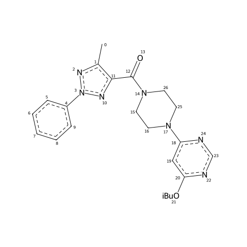 Cc1nn(-c2ccccc2)nc1C(=O)N1CCN(c2cc(OCC(C)C)ncn2)CC1